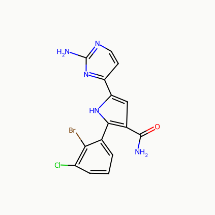 NC(=O)c1cc(-c2ccnc(N)n2)[nH]c1-c1cccc(Cl)c1Br